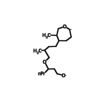 CCCC(CC[O])OCC(C)CCC1CC[CH]OCC1C